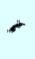 CCCCc1ccc(C(=O)Nc2ccc(-c3ccc4c(c3)C(=O)N(C(C(=O)O)C(C)C)C4)cc2)nc1